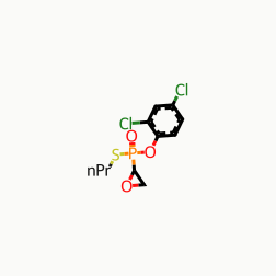 CCCSP(=O)(Oc1ccc(Cl)cc1Cl)C1CO1